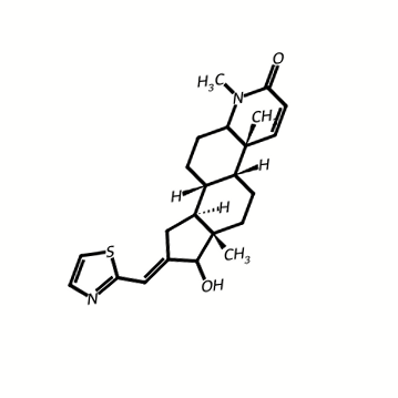 CN1C(=O)C=C[C@@]2(C)C1CC[C@@H]1[C@H]2CC[C@]2(C)C(O)C(=Cc3nccs3)C[C@@H]12